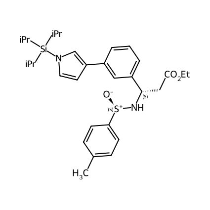 CCOC(=O)C[C@H](N[S@+]([O-])c1ccc(C)cc1)c1cccc(-c2ccn([Si](C(C)C)(C(C)C)C(C)C)c2)c1